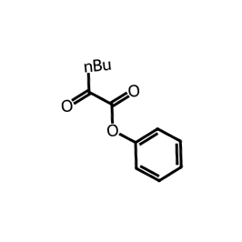 CCCCC(=O)C(=O)Oc1ccccc1